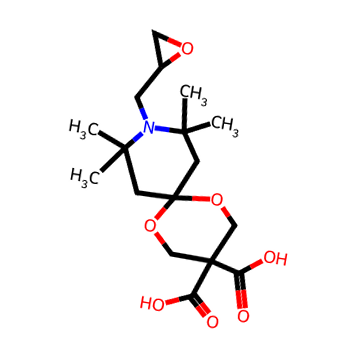 CC1(C)CC2(CC(C)(C)N1CC1CO1)OCC(C(=O)O)(C(=O)O)CO2